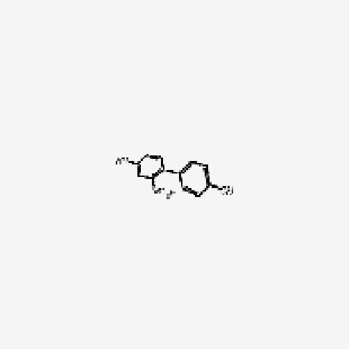 O=S(=O)(O)c1cc(O)ccc1-c1ccc(O)cc1